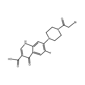 O=C(O)c1c[nH]c2cc(N3CCN(C(=O)CBr)CC3)c(F)cc2c1=O